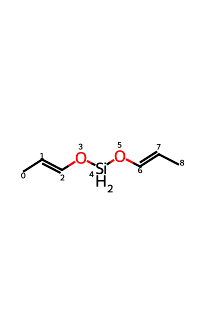 CC=CO[SiH2]OC=CC